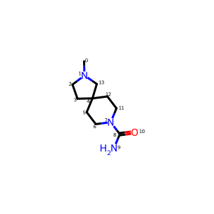 CN1CCC2(CCN(C(N)=O)CC2)C1